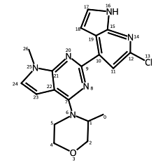 CC1COCCN1c1nc(-c2cc(Cl)nc3[nH]ccc23)nc2c1ccn2C